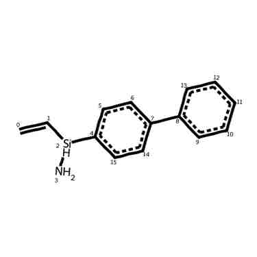 C=C[SiH](N)c1ccc(-c2ccccc2)cc1